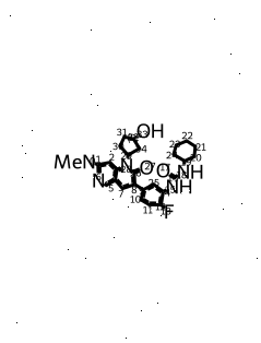 CNc1cc2c(cn1)cc(-c1ccc(F)c(NC(=O)NC3CCCCC3)c1)c(=O)n2C1CC[C@@H](O)C1